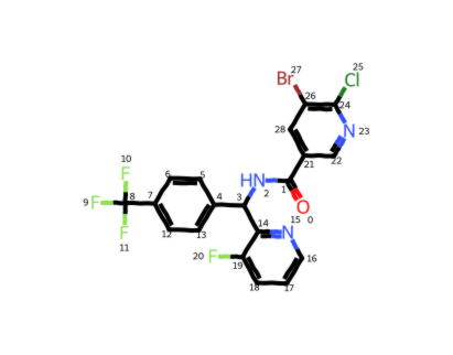 O=C(NC(c1ccc(C(F)(F)F)cc1)c1ncccc1F)c1cnc(Cl)c(Br)c1